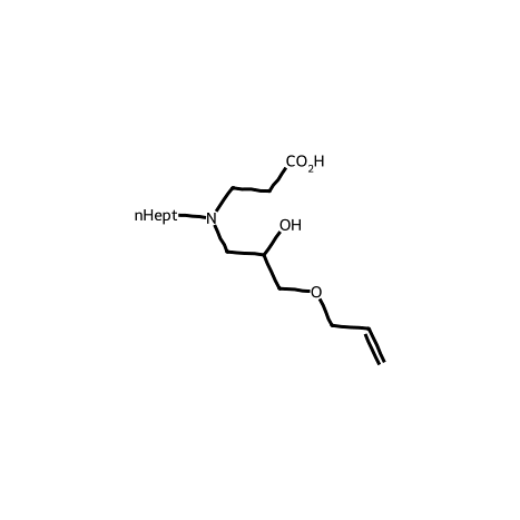 C=CCOCC(O)CN(CCCCCCC)CCC(=O)O